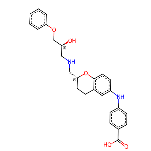 O=C(O)c1ccc(Nc2ccc3c(c2)CC[C@H](CNC[C@H](O)COc2ccccc2)O3)cc1